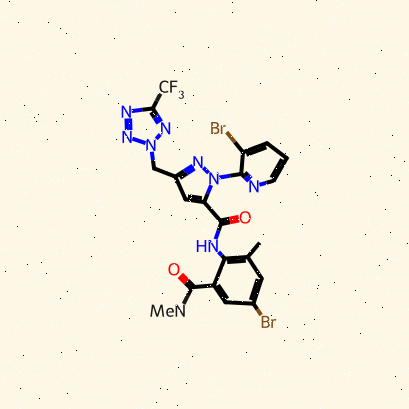 CNC(=O)c1cc(Br)cc(C)c1NC(=O)c1cc(Cn2nnc(C(F)(F)F)n2)nn1-c1ncccc1Br